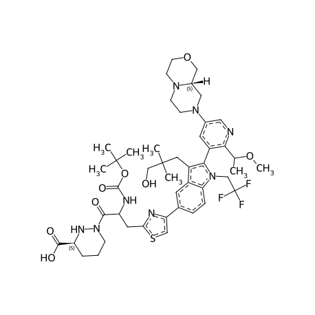 COC(C)c1ncc(N2CCN3CCOC[C@@H]3C2)cc1-c1c(CC(C)(C)CO)c2cc(-c3csc(CC(NC(=O)OC(C)(C)C)C(=O)N4CCC[C@@H](C(=O)O)N4)n3)ccc2n1CC(F)(F)F